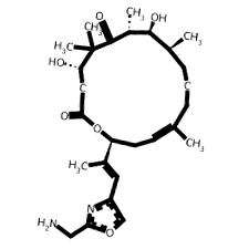 CC(=Cc1coc(CN)n1)[C@@H]1C/C=C(/C)CCC[C@H](C)[C@H](O)[C@@H](C)C(=O)C(C)(C)[C@@H](O)CC(=O)O1